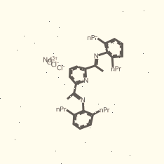 CCCc1cccc(CCC)c1N=C(C)c1cccc(C(C)=Nc2c(CCC)cccc2CCC)n1.[Cl-].[Cl-].[Cl-].[Nd+3]